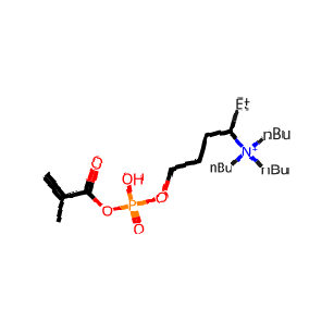 C=C(C)C(=O)OP(=O)(O)OCCCC(CC)[N+](CCCC)(CCCC)CCCC